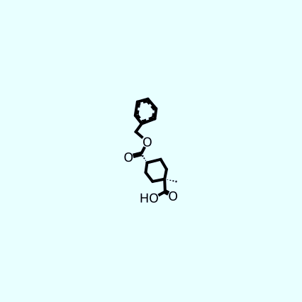 C[C@]1(C(=O)O)CC[C@H](C(=O)OCc2ccccc2)CC1